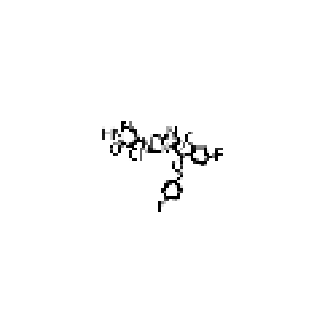 O=c1[nH]ncc(N2CCn3c(C(OCc4ccc(F)cc4)c4ccc(F)cc4C(F)(F)F)cnc3C2)c1Cl